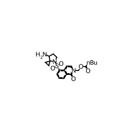 CCCCC(=O)OCn1ccc2c(S(=O)(=O)N3CCC(N)C34CC4)cccc2c1=O